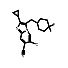 N#Cc1cc2nc(C3CC3)c(CC3CCC(F)(F)CC3)n2cc1Cl